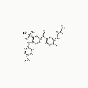 COc1ccc(Oc2ccc(C(=O)c3ccc(C)c(SOOO)c3)cc2S(=O)(=O)O)cc1